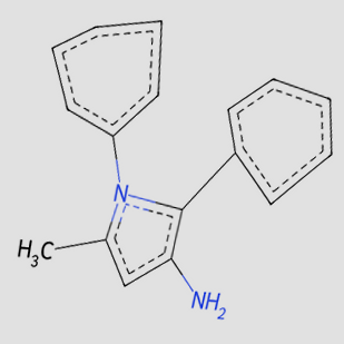 Cc1cc(N)c(-c2ccccc2)n1-c1ccccc1